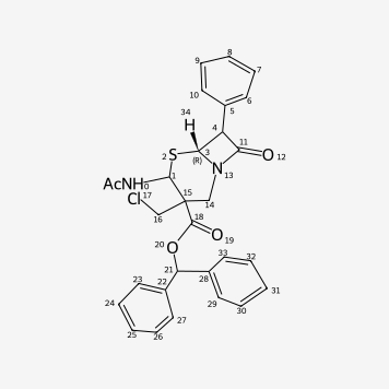 CC(=O)NC1S[C@@H]2C(c3ccccc3)C(=O)N2CC1(CCl)C(=O)OC(c1ccccc1)c1ccccc1